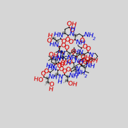 CC[C@H](C)[C@H](NC(=O)[C@H](CC(C)C)NC(=O)[C@H](C)NC(=O)[C@@H](NC(=O)[C@@H](N)Cc1ccc(O)cc1)[C@@H](C)O)C(=O)N[C@H](C(=O)N[C@@H](C)C(=O)N[C@H](C(=O)N[C@@H](CC(=O)O)C(=O)N[C@@H](CC(N)=O)C(=O)NCC(=O)N[C@@H](CO)C(=O)N1CCC[C@H]1C(=O)N[C@H](C(=O)N[C@@H](C)C(=O)N[C@H](C(=O)NCC(=O)N[C@H](C(=O)NCC(=O)N[C@H](C(=O)O)[C@@H](C)O)[C@@H](C)O)[C@@H](C)O)C(C)C)[C@@H](C)O)[C@@H](C)CC